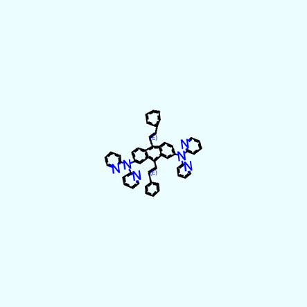 C(=C\c1c2ccc(N(c3ccccn3)c3ccccn3)cc2c(/C=C/c2ccccc2)c2cc(N(c3ccccn3)c3ccccn3)ccc12)/c1ccccc1